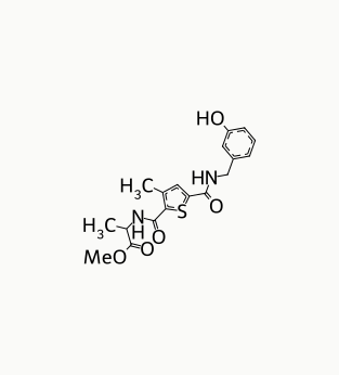 COC(=O)C(C)NC(=O)c1sc(C(=O)NCc2cccc(O)c2)cc1C